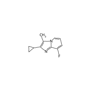 Cc1c(C2CC2)nc2c(F)cccn12